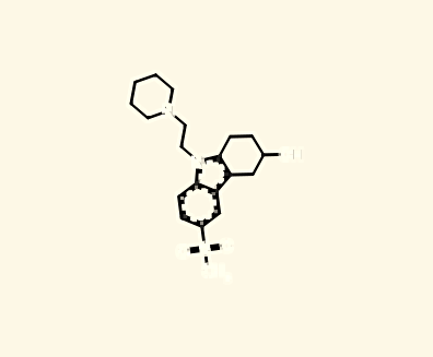 CS(=O)(=O)c1ccc2c(c1)c1c(n2CCN2CCCCC2)CCC(O)C1